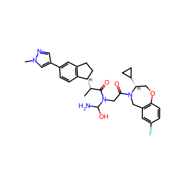 CC(C(=O)N(CC(=O)N1Cc2cc(F)ccc2OC[C@H]1C1CC1)C(N)O)[C@H]1CCc2cc(-c3cnn(C)c3)ccc21